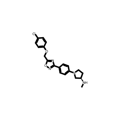 CN[C@@H]1CCN(c2ccc(-c3noc(COc4ccc(Cl)cc4)n3)cc2)C1